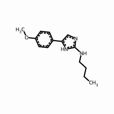 CCCCNc1ncc(-c2ccc(OC)cc2)[nH]1